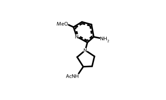 COc1ccc(N)c(N2CCC(NC(C)=O)C2)n1